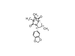 C[C@H]1C[C@@]23S[C@](C)(C(=O)N2[C@H]1c1ccc2c(c1)OCO2)N(C)C3=O